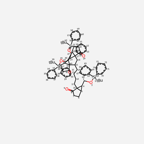 CC(C)(C)[Si](OCC1C2CCC(=O)C21CCCCC(CC12C(=O)CCC1C2CO[Si](c1ccccc1)(c1ccccc1)C(C)(C)C)C12C(=O)CCC1C2CO[Si](c1ccccc1)(c1ccccc1)C(C)(C)C)(c1ccccc1)c1ccccc1